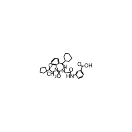 CC1(C(=O)CN2C(=O)N(CC(=O)Nc3cccc(C(=O)O)c3)N=C(C3CCCCC3)c3ccccc32)CCCC1